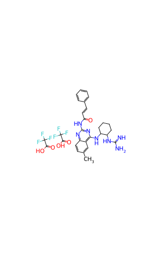 Cc1ccc2nc(NC(=O)/C=C/c3ccccc3)nc(NC3CCCCC3NC(=N)N)c2c1.O=C(O)C(F)(F)F.O=C(O)C(F)(F)F